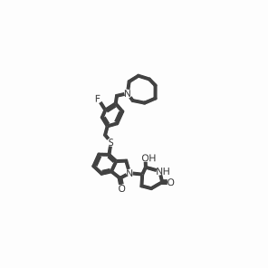 O=C1CCC(N2Cc3c(SCc4ccc(CN5CCCCCCC5)c(F)c4)cccc3C2=O)C(O)N1